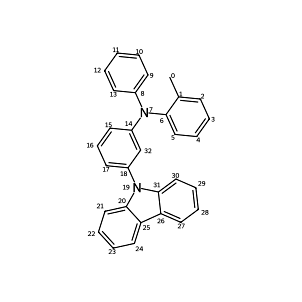 Cc1ccccc1N(c1ccccc1)c1cccc(-n2c3ccccc3c3ccccc32)c1